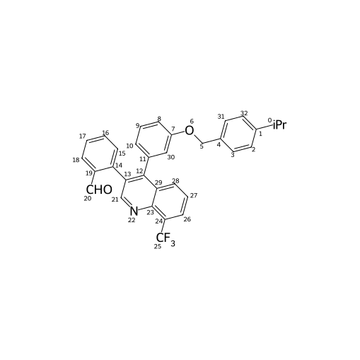 CC(C)c1ccc(COc2cccc(-c3c(-c4ccccc4C=O)cnc4c(C(F)(F)F)cccc34)c2)cc1